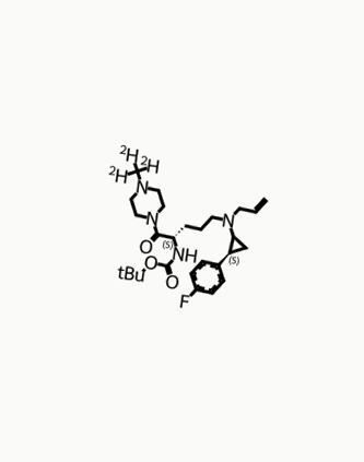 [2H]C([2H])([2H])N1CCN(C(=O)[C@H](CCCN(CC=C)C2C[C@H]2c2ccc(F)cc2)NC(=O)OC(C)(C)C)CC1